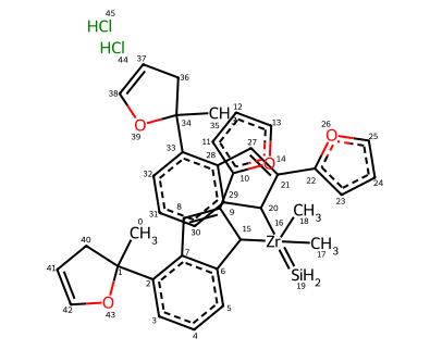 CC1(c2cccc3c2C=C(c2ccco2)[CH]3[Zr]([CH3])([CH3])(=[SiH2])[CH]2C(c3ccco3)=Cc3c2cccc3C2(C)CC=CO2)CC=CO1.Cl.Cl